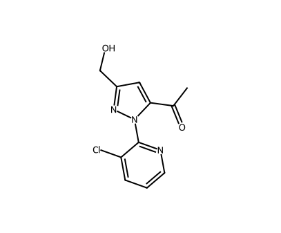 CC(=O)c1cc(CO)nn1-c1ncccc1Cl